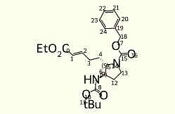 CCOC(=O)C=CCC[C@H]1[C@H](NC(=O)OC(C)(C)C)CCN1C(=O)OCc1ccccc1